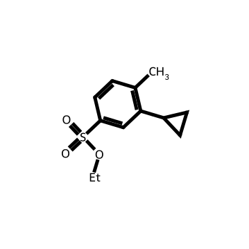 CCOS(=O)(=O)c1ccc(C)c(C2CC2)c1